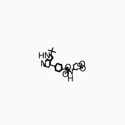 CC(C)(C)c1cc2c([nH]1)=NCCC=2c1ccc(S(=O)(=O)NC2CCS(=O)(=O)C2)cc1